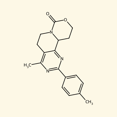 Cc1ccc(-c2nc(C)c3c(n2)C2CCOC(=O)N2CC3)cc1